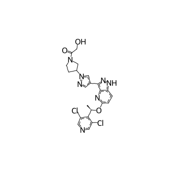 C[C@@H](Oc1ccc2[nH]nc(-c3cnn(C4CCN(C(=O)CO)C4)c3)c2n1)c1c(Cl)cncc1Cl